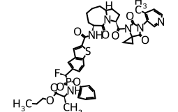 CCCOC(=O)[C@H](C)NP(=O)(Oc1ccccc1)[C@@H](F)c1ccc2sc(C(=O)N[C@H]3CCCC[C@H]4CC[C@@H](C(=O)N5C(=O)N(c6cnccc6C)C(=O)C56CC6)N4C3=O)cc2c1